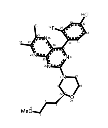 COCCC[C@H]1CN(c2nc(-c3ccc(Cl)cc3F)c3nc(C)c(C)nc3n2)CCO1